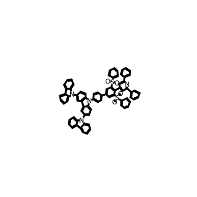 O=S(=O)(c1ccccc1)c1cc(-c2ccc(-n3c4ccc(-n5c6ccccc6c6ccccc65)cc4c4cc(-n5c6ccccc6c6ccccc65)ccc43)cc2)cc(S(=O)(=O)c2ccccc2)c1-c1cc(-c2ccccc2)nc(-c2ccccc2)c1